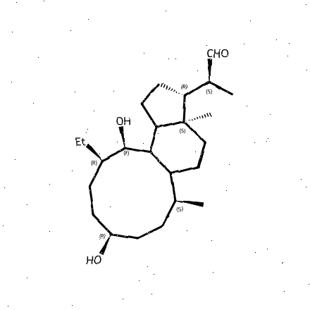 CC[C@@H]1CC[C@H](O)CC[C@H](C)C2CC[C@@]3(C)C(CC[C@@H]3[C@H](C)C=O)C2[C@@H]1O